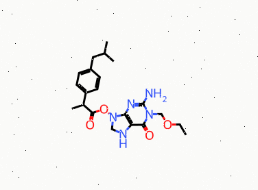 CCOCn1c(N)nc2c(c1=O)NCN2OC(=O)C(C)c1ccc(CC(C)C)cc1